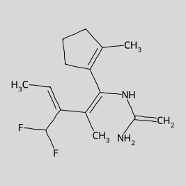 C=C(N)N/C(C1=C(C)CCC1)=C(C)/C(=C/C)C(F)F